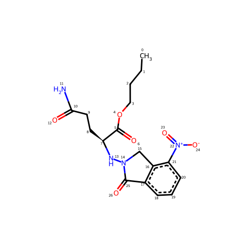 CCCCOC(=O)[C@H](CCC(N)=O)NN1Cc2c(cccc2[N+](=O)[O-])C1=O